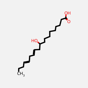 CCCC=CCC=CCC(O)CCCCCCCCC(=O)O